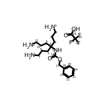 NCCCC(CCCN)(CCCN)NC(=O)OCc1ccccc1.O=C(O)C(F)(F)F